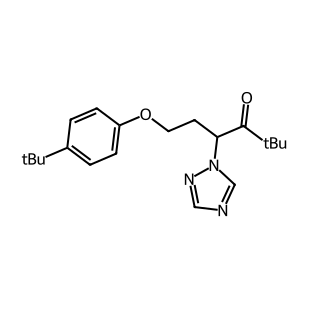 CC(C)(C)C(=O)C(CCOc1ccc(C(C)(C)C)cc1)n1cncn1